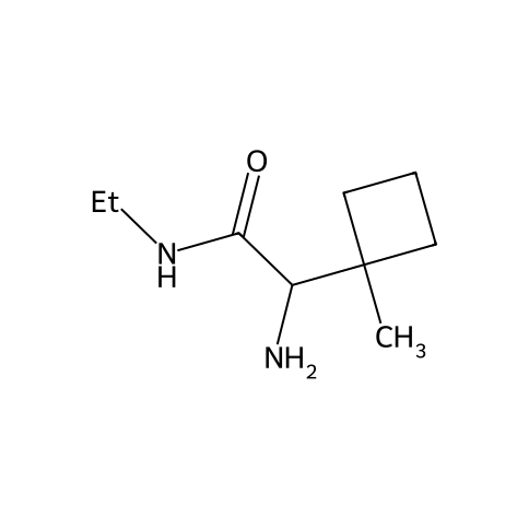 CCNC(=O)C(N)C1(C)CCC1